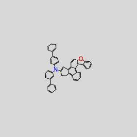 c1ccc(-c2ccc(N(c3cccc(-c4ccccc4)c3)c3ccc4c5ccccc5c5c(ccc6oc7ccccc7c65)c4c3)cc2)cc1